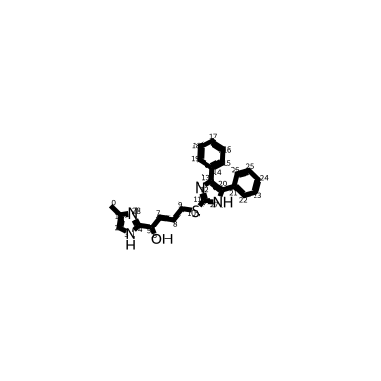 Cc1c[nH]c(C(O)CCCSc2nc(-c3ccccc3)c(-c3ccccc3)[nH]2)n1